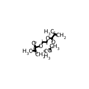 C=C(C)C(=O)OCCOC(=O)C(=C)C.COC